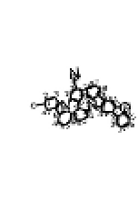 CC1C=Cc2c(c3c(n2-c2cc(C#N)ccc2C2CCCC=C2n2c4ccccc4c4cc5oc6ccccc6c5cc42)C=CCC3)C1